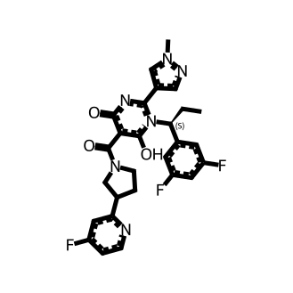 CC[C@@H](c1cc(F)cc(F)c1)n1c(-c2cnn(C)c2)nc(=O)c(C(=O)N2CCC(c3cc(F)ccn3)C2)c1O